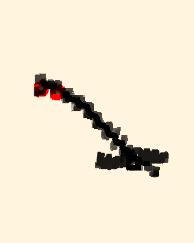 CO[Si](C)(CCCCCCCCCCCCCCCOCC1CO1)OC